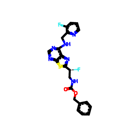 O=C(NC[C@@H](F)c1nc2c(NCc3ncccc3F)ncnc2s1)OCc1ccccc1